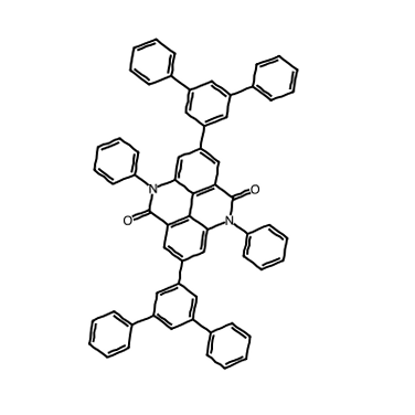 O=c1c2cc(-c3cc(-c4ccccc4)cc(-c4ccccc4)c3)cc3c2c2c(cc(-c4cc(-c5ccccc5)cc(-c5ccccc5)c4)cc2n1-c1ccccc1)c(=O)n3-c1ccccc1